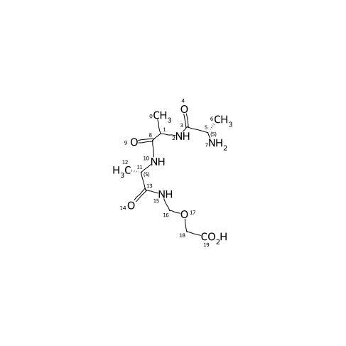 CC(NC(=O)[C@H](C)N)C(=O)N[C@@H](C)C(=O)NCOCC(=O)O